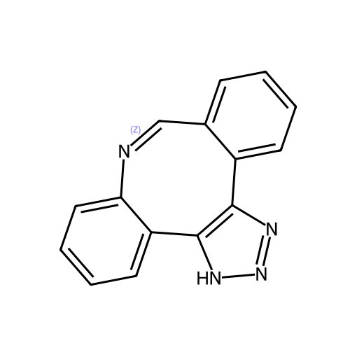 C1=N\c2ccccc2-c2[nH]nnc2-c2ccccc2/1